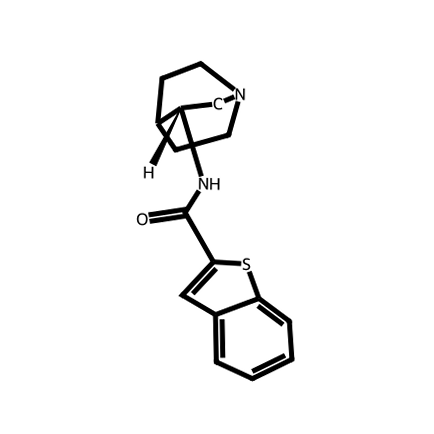 O=C(N[C@H]1CN2CCC1CC2)c1cc2ccccc2s1